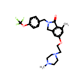 Cc1cc(OCCN2CCN(C)CC2)cc2c1C(=O)N(Cc1ccc(OC(F)(F)F)cc1)C2